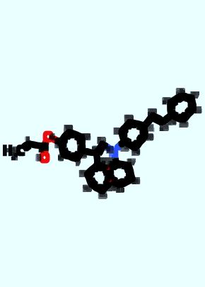 C=CC(=O)Oc1ccc(/C(=C/N(c2ccccc2)c2ccc(C=Cc3ccccc3)cc2)c2ccccc2)cc1